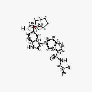 CN1CC2CCC(C1)N2C(=O)c1cnc2[nH]cc(-c3ccc4ncc(C(=O)NCC(F)F)n4c3)c2c1